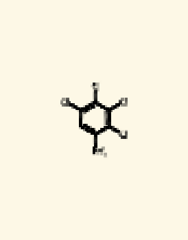 [PH4]c1cc(Cl)c(Cl)c(Cl)c1Cl